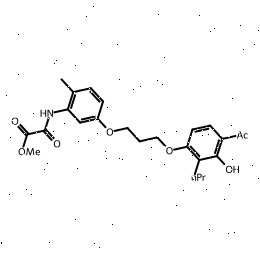 CCCc1c(OCCCOc2ccc(C)c(NC(=O)C(=O)OC)c2)ccc(C(C)=O)c1O